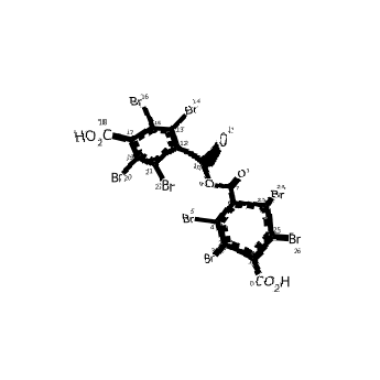 O=C(O)c1c(Br)c(Br)c(C(=O)OC(=O)c2c(Br)c(Br)c(C(=O)O)c(Br)c2Br)c(Br)c1Br